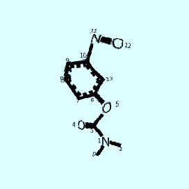 CN(C)C(=O)Oc1cccc(N=O)c1